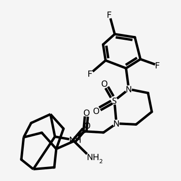 NC(=O)C12CC3CC(C1)C(NC(=O)CN1CCCN(c4c(F)cc(F)cc4F)S1(=O)=O)C(C3)C2